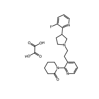 O=C(O)C(=O)O.O=C1CCCCN1c1ncccc1CCN1CCC(c2ncccc2F)C1